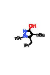 CCCCc1c(O)nn(CCC)c1CC(C)C